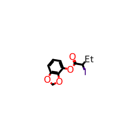 CCC(I)C(=O)Oc1cccc2c1OCO2